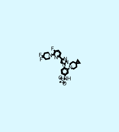 CS(=O)(=O)Nc1ccc(-n2cc(-c3ccc(F)c(N4CCC(F)(F)CC4)n3)nn2)c(N2CCC3(CC2)CC3)c1